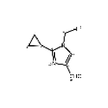 O=Cc1cn(CI)c(C2CC2)n1